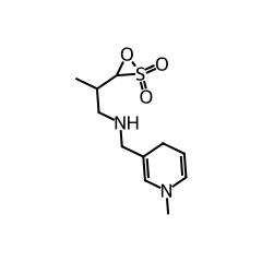 CC(CNCC1=CN(C)C=CC1)C1OS1(=O)=O